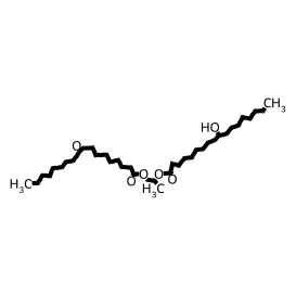 CCCCCCCCC(O)CCCCCCCCC(=O)OC(C)COC(=O)CCCCCCCC1OC1CCCCCCCC